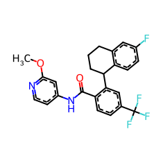 COc1cc(NC(=O)c2ccc(C(F)(F)F)cc2C2CCCc3cc(F)ccc32)ccn1